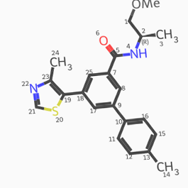 COC[C@@H](C)NC(=O)c1cc(-c2ccc(C)cc2)cc(-c2scnc2C)c1